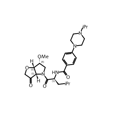 CO[C@@H]1CN(C(=O)[C@H](CC(C)C)NC(=O)c2ccc(N3CCN(C(C)C)CC3)cc2)[C@@H]2C(=O)CO[C@@H]21